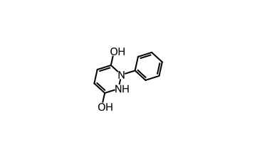 OC1=CC=C(O)N(c2ccccc2)N1